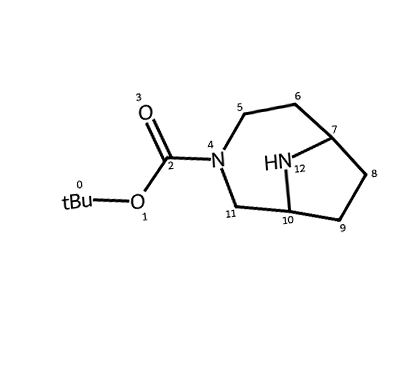 CC(C)(C)OC(=O)N1CCC2CCC(C1)N2